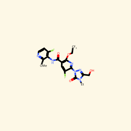 CCn1c(CO)nn(-c2nc(OCC(F)(F)F)c(C(=O)Nc3c(F)ccnc3OC)cc2F)c1=O